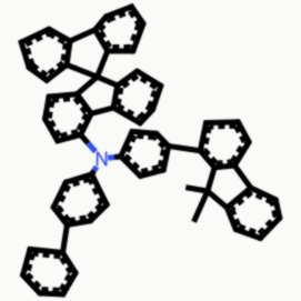 CC1(C)c2ccccc2-c2cccc(-c3ccc(N(c4ccc(-c5ccccc5)cc4)c4cccc5c4-c4ccccc4C54c5ccccc5-c5ccccc54)cc3)c21